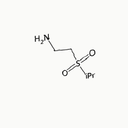 CC(C)S(=O)(=O)CCN